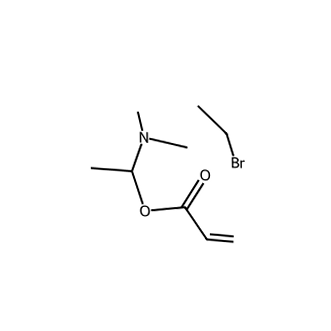 C=CC(=O)OC(C)N(C)C.CCBr